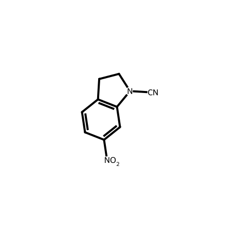 N#CN1CCc2ccc([N+](=O)[O-])cc21